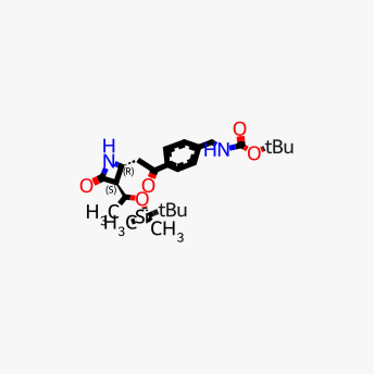 CC(O[Si](C)(C)C(C)(C)C)[C@H]1C(=O)N[C@@H]1CC(=O)c1ccc(CNC(=O)OC(C)(C)C)cc1